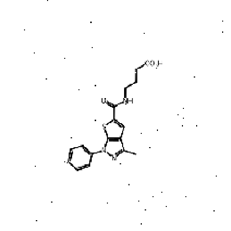 Cc1nn(-c2ccccc2)c2sc(C(=O)NCCCC(=O)O)cc12